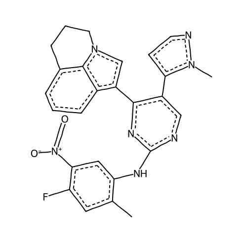 Cc1cc(F)c([N+](=O)[O-])cc1Nc1ncc(-c2ccnn2C)c(-c2cn3c4c(cccc24)CCC3)n1